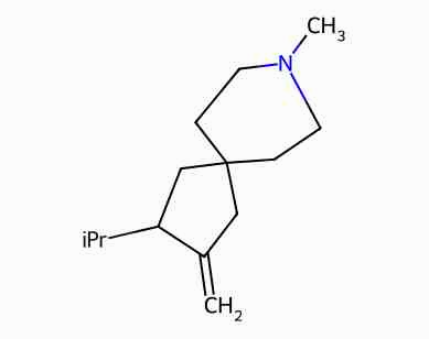 C=C1CC2(CCN(C)CC2)CC1C(C)C